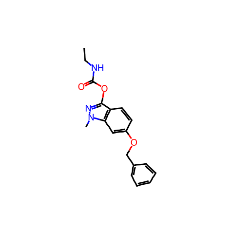 CCNC(=O)Oc1nn(C)c2cc(OCc3ccccc3)ccc12